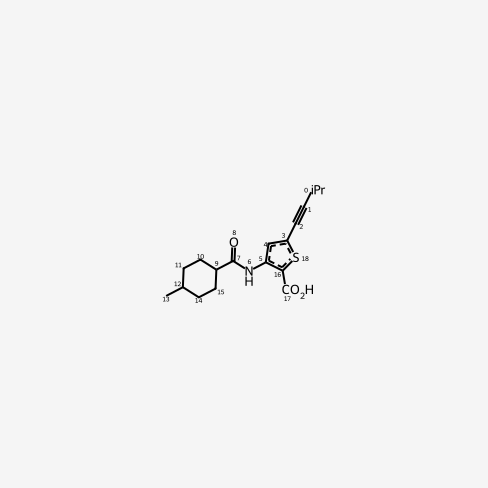 CC(C)C#Cc1cc(NC(=O)C2CCC(C)CC2)c(C(=O)O)s1